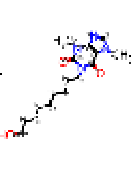 Cn1cnc2c1c(=O)n(CCCCCCCCCO)c(=O)n2C